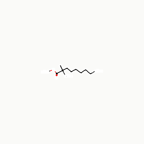 CCCCCCCCCCCCCCCCC(C)(CCCCCC)C(=O)OCCCCCCCC